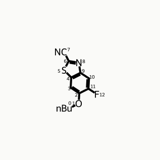 CCCCOc1cc2sc(C#N)nc2cc1F